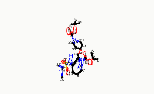 CC(C)OC(=O)N1CCCC(NS(=O)(=O)N(C)C)C1COC1CCN(C(=O)OC(C)(C)C)CC1